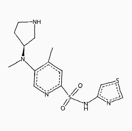 Cc1cc(S(=O)(=O)Nc2cscn2)ncc1N(C)[C@H]1CCNC1